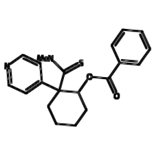 CNC(=S)C1(c2ccncc2)CCCCC1OC(=O)c1ccccc1